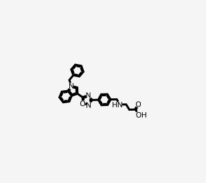 O=C(O)CCNCc1ccc(-c2noc(-c3cn(Cc4ccccc4)c4ccccc34)n2)cc1